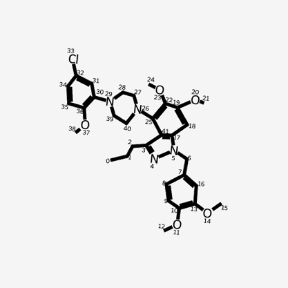 CCCc1nn(Cc2ccc(OC)c(OC)c2)c2cc(OC)c(OC)c(N3CCN(c4cc(Cl)ccc4OC)CC3)c12